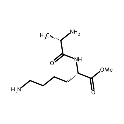 COC(=O)[C@H](CCCCN)NC(=O)[C@H](C)N